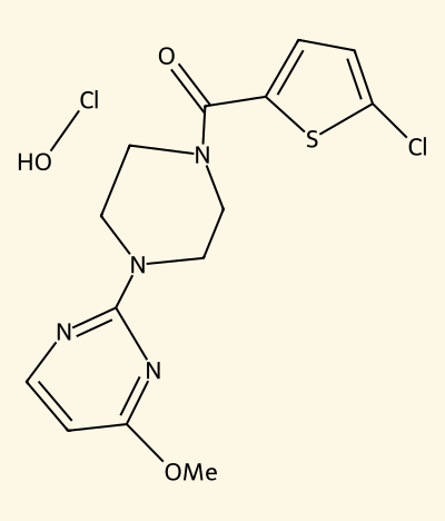 COc1ccnc(N2CCN(C(=O)c3ccc(Cl)s3)CC2)n1.OCl